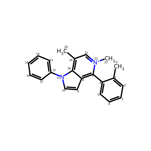 Cc1ccccc1-c1c2ccn(-c3ccccc3)c2c(C)c[n+]1C